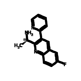 C[C@H](N)c1nc2ccc(F)cc2cc1-c1ccccn1